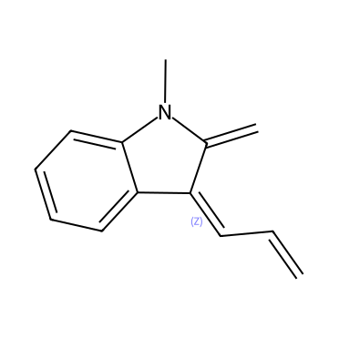 C=C/C=c1\c(=C)n(C)c2ccccc12